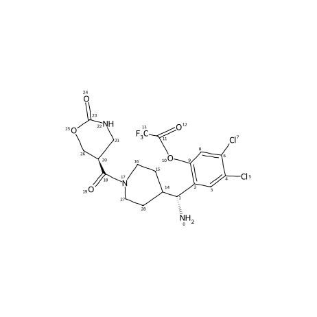 N[C@@H](c1cc(Cl)c(Cl)cc1OC(=O)C(F)(F)F)C1CCN(C(=O)[C@@H]2CNC(=O)OC2)CC1